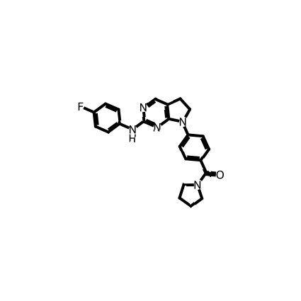 O=C(c1ccc(N2CCc3cnc(Nc4ccc(F)cc4)nc32)cc1)N1CCCC1